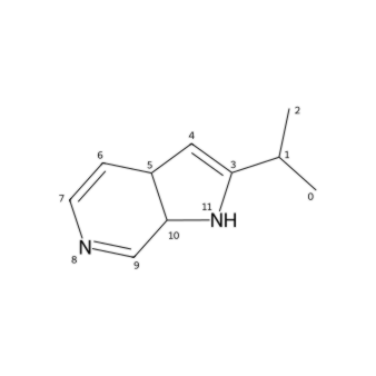 CC(C)C1=CC2C=CN=CC2N1